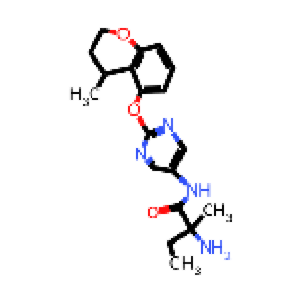 CCC(C)(N)C(=O)Nc1cnc(Oc2cccc3c2C(C)CCO3)nc1